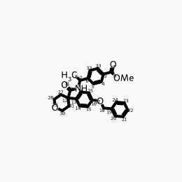 COC(=O)c1ccc(C(C)NC(=O)C2(c3ccc(OCc4ccccc4)cc3)CCOCC2)cc1